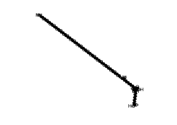 [N-]=[N+]=NCCOCCOCCOCCOCCOCCOCCOCCOCCOCCOCCOCCOCCOCCOCCOCCOCCOCCOCCOCCOCCOCCOCCOCCNCC(=O)CCCCCCCCCCC(CCCCCCCCCCC(=O)O)(C(=O)O)C(=O)O